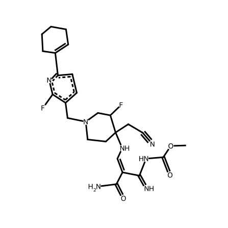 COC(=O)NC(=N)/C(=C\NC1(CC#N)CCN(Cc2ccc(C3=CCCCC3)nc2F)CC1F)C(N)=O